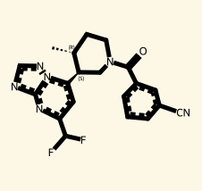 C[C@@H]1CCN(C(=O)c2cccc(C#N)c2)C[C@H]1c1cc(C(F)F)nc2ncnn12